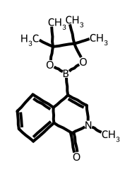 Cn1cc(B2OC(C)(C)C(C)(C)O2)c2ccccc2c1=O